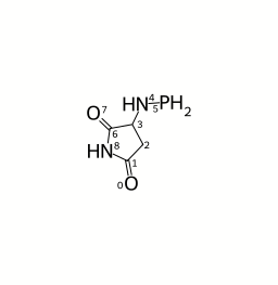 O=C1CC(NP)C(=O)N1